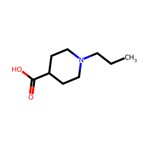 CCCN1CCC(C(=O)O)CC1